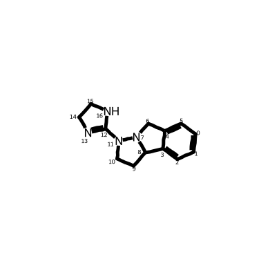 c1ccc2c(c1)CN1C2CCN1C1=NCCN1